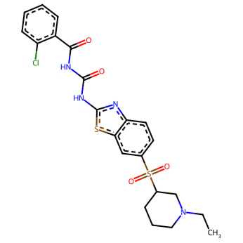 CCN1CCCC(S(=O)(=O)c2ccc3nc(NC(=O)NC(=O)c4ccccc4Cl)sc3c2)C1